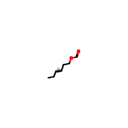 CC/C=C/CCOC=O